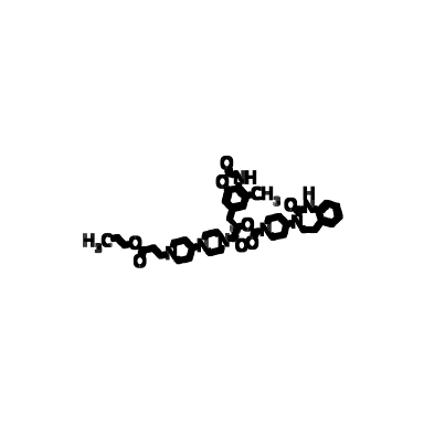 CCCOC(=O)CCN1CCC(N2CCN(C(=O)[C@@H](Cc3cc(C)c4[nH]c(=O)oc4c3)OC(=O)N3CCC(N4CCc5ccccc5NC4=O)CC3)CC2)CC1